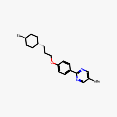 CCCCc1cnc(-c2ccc(OCCC[C@H]3CC[C@H](CC)CC3)cc2)nc1